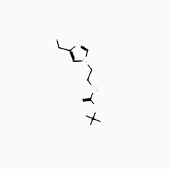 CCc1cn(CCNC(=O)OC(C)(C)C)cn1